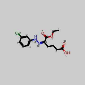 CCOC(=O)/C(CCCC(=O)O)=N\Nc1cccc(Cl)c1